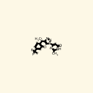 Cc1nc(-n2cc([C@@H](C)c3ccc(C(F)(F)F)cc3Cl)nn2)cc(=O)[nH]1